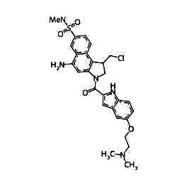 CNS(=O)(=O)c1ccc2c3c(cc(N)c2c1)N(C(=O)c1cc2cc(OCCN(C)C)ccc2[nH]1)CC3CCl